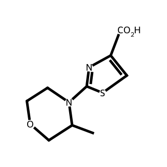 CC1COCCN1c1nc(C(=O)O)cs1